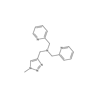 Cn1cc(CN(Cc2ccccn2)Cc2ccccn2)nn1